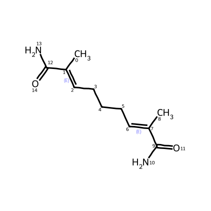 C/C(=C\CCC/C=C(\C)C(N)=O)C(N)=O